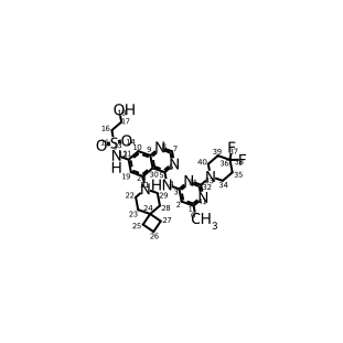 Cc1cc(Nc2ncnc3cc(NS(=O)(=O)CCO)cc(N4CCC5(CCC5)CC4)c23)nc(N2CCC(F)(F)CC2)n1